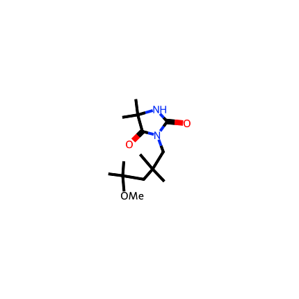 COC(C)(C)CC(C)(C)CN1C(=O)NC(C)(C)C1=O